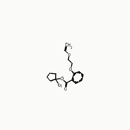 C=COCCOc1ccccc1C(=O)OC1(CC)CCCC1